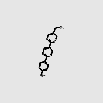 CCCc1ccc(-c2ccc(-c3ncc(CC(C)CC)cn3)cn2)cc1